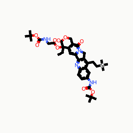 CCC1(OC(=O)CNC(=O)OC(C)(C)C)C(=O)OCc2c1cc1n(c2=O)Cc2c-1nc1ccc(NC(=O)OC(C)(C)C)cc1c2CC[Si](C)(C)C